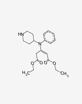 CCOC(=O)C=C(CC(=O)OCC)N(c1ccccc1)C1CCNCC1